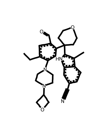 CCc1cc(C=O)c(C2(c3[nH]c4cc(C#N)ccc4c3C)CCOCC2)cc1N1CCN(C2COC2)CC1